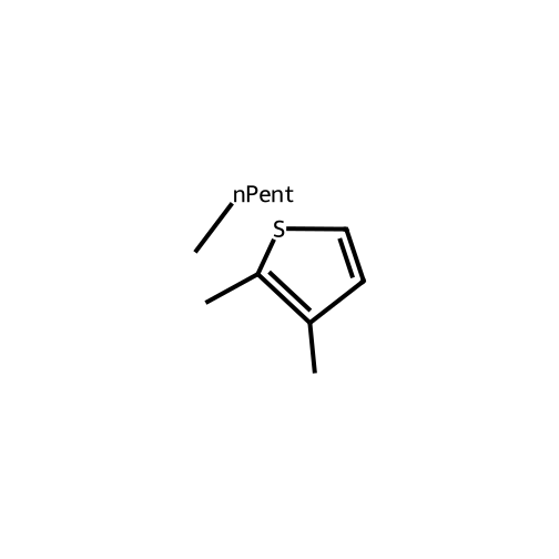 CCCCCC.Cc1ccsc1C